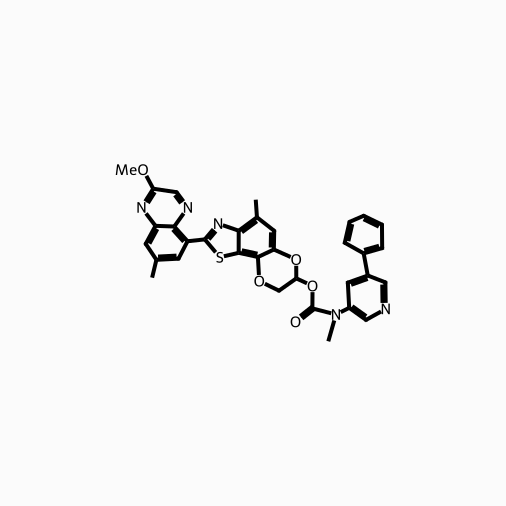 COc1cnc2c(-c3nc4c(C)cc5c(c4s3)OCC(OC(=O)N(C)c3cncc(-c4ccccc4)c3)O5)cc(C)cc2n1